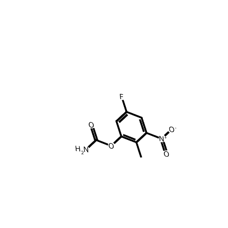 Cc1c(OC(N)=O)cc(F)cc1[N+](=O)[O-]